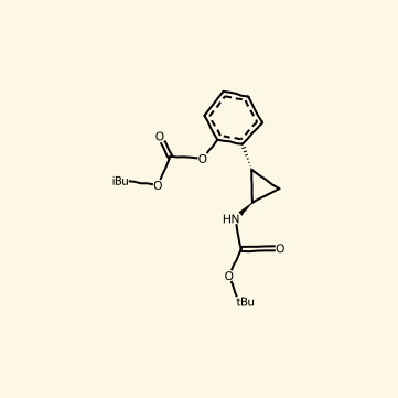 CCC(C)OC(=O)Oc1ccccc1[C@@H]1C[C@H]1NC(=O)OC(C)(C)C